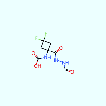 O=CNNC(=O)C1(NC(=O)O)CC(F)(F)C1